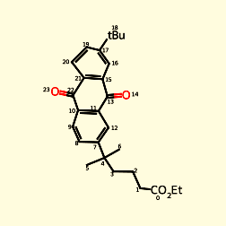 CCOC(=O)CCCC(C)(C)c1ccc2c(c1)C(=O)c1cc(C(C)(C)C)ccc1C2=O